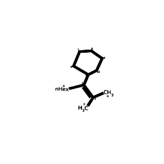 CCCCCCC(=C(C)C)C1CCCCC1